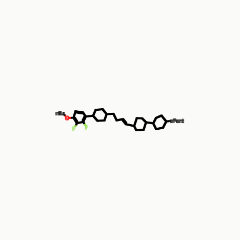 CCCCCC1CCC(C2CCC(/C=C/CCC3CCC(c4ccc(OCCCC)c(F)c4F)CC3)CC2)CC1